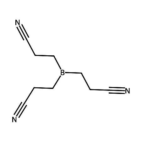 N#CCCB(CCC#N)CCC#N